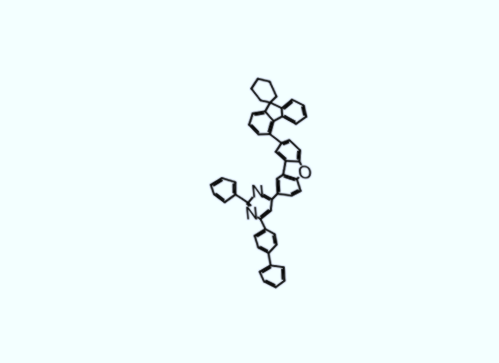 c1ccc(-c2ccc(-c3cc(-c4ccc5oc6ccc(-c7cccc8c7-c7ccccc7C87CCCCC7)cc6c5c4)nc(-c4ccccc4)n3)cc2)cc1